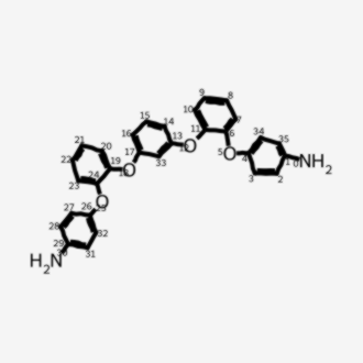 Nc1ccc(Oc2ccccc2Oc2cccc(Oc3ccccc3Oc3ccc(N)cc3)c2)cc1